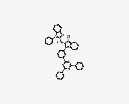 Clc1c(Nc2nc3ccccc3n2-c2ccccc2)n(-c2cccc(-c3nc(-c4ccccc4)nc(-c4ccccc4)n3)c2)c2ccccc12